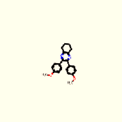 COc1ccc(-c2nc3c(nc2-c2ccc(OC)cc2)CCCC3)cc1